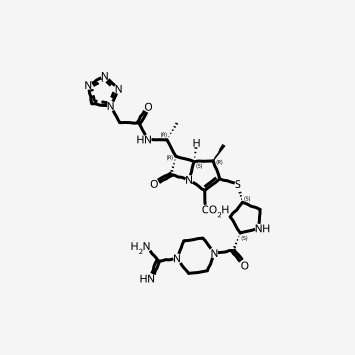 C[C@@H](NC(=O)Cn1cnnn1)[C@H]1C(=O)N2C(C(=O)O)=C(S[C@@H]3CN[C@H](C(=O)N4CCN(C(=N)N)CC4)C3)[C@H](C)[C@H]12